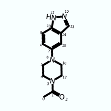 CC(=O)N1CCN(c2ccc3[nH]ncc3c2)CC1